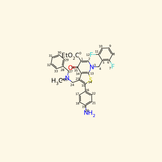 CCOC(=O)c1cn(Cc2c(F)cccc2F)c2sc(-c3ccc(N)cc3)c(CN(C)Cc3ccccc3)c2c1=O